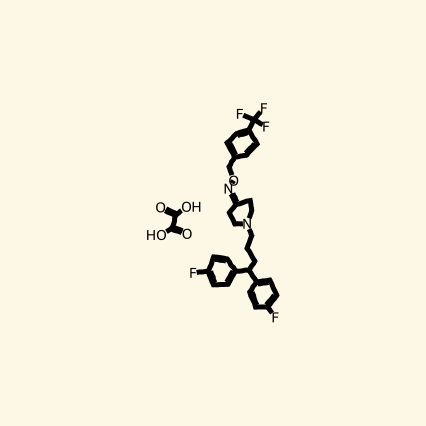 Fc1ccc(C(CCCN2CCC(=NOCc3ccc(C(F)(F)F)cc3)CC2)c2ccc(F)cc2)cc1.O=C(O)C(=O)O